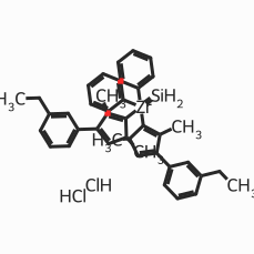 CCc1cccc(C2=CC(C)[C]([Zr](=[SiH2])([C]3=C(C)C(c4cccc(CC)c4)=CC3C)([c]3ccccc3)[c]3ccccc3)=C2C)c1.Cl.Cl